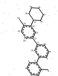 Cc1ccccc1-c1cccc(-c2cc(C3CCCCC3)c(C)cn2)c1